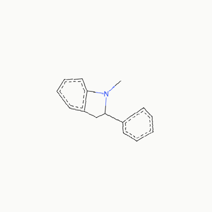 CN1c2ccccc2CC1c1ccccc1